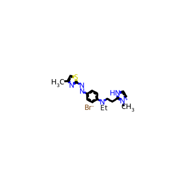 CCN(CCc1[nH]cc[n+]1C)c1ccc(N=Nc2nc(C)cs2)cc1.[Br-]